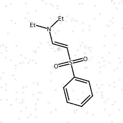 CCN(/C=C/S(=O)(=O)c1ccccc1)CC